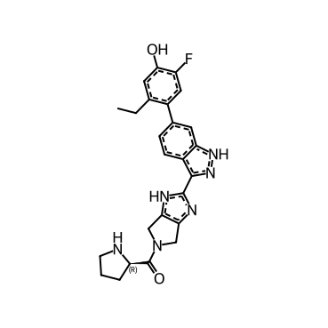 CCc1cc(O)c(F)cc1-c1ccc2c(-c3nc4c([nH]3)CN(C(=O)[C@H]3CCCN3)C4)n[nH]c2c1